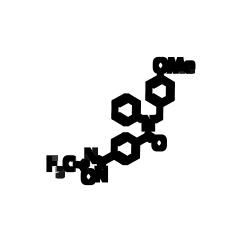 COc1ccc(CN(C(=O)c2ccc(-c3noc(C(F)(F)F)n3)cc2)c2ccccc2)cc1